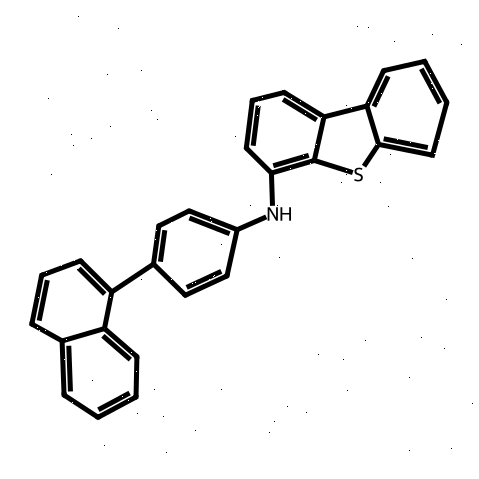 c1ccc2c(-c3ccc(Nc4cccc5c4sc4ccccc45)cc3)cccc2c1